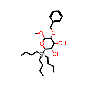 CCC[CH2][Sn]([CH2]CCC)([CH2]CCC)[C@H]1O[C@@H](OC)[C@H](OCc2ccccc2)[C@@H](O)[C@@H]1O